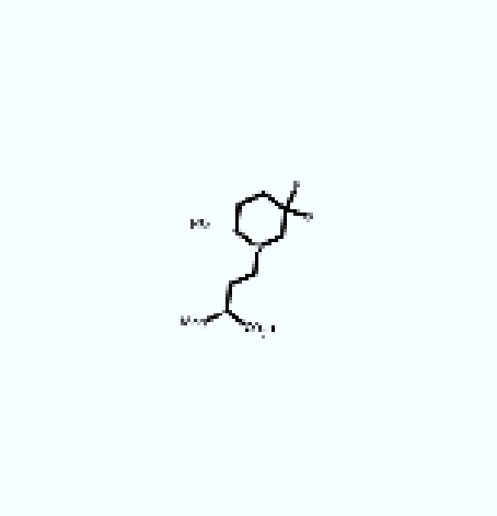 Br.CN[C@@H](CCN1CCCC(F)(F)C1)C(=O)O